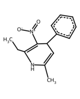 CCC1=C([N+](=O)[O-])C(c2ccccc2)C=C(C)N1